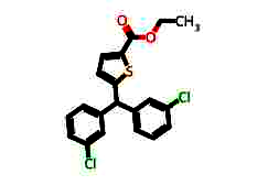 CCOC(=O)c1ccc(C(c2cccc(Cl)c2)c2cccc(Cl)c2)s1